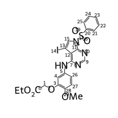 CCOC(=O)COc1cc(Nc2ncnc3c2c(I)cn3S(=O)(=O)c2ccccc2)ccc1OC